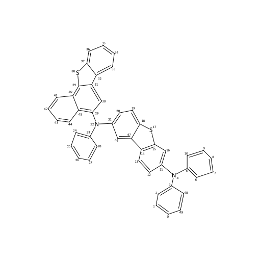 c1ccc(N(c2ccccc2)c2ccc3c(c2)sc2ccc(N(c4ccccc4)c4cc5c6ccccc6sc5c5ccccc45)cc23)cc1